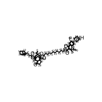 C=C[C@@]1(C)C[C@H](OC(=O)CSC2CC3CCC(C2)N3C)[C@@]2(C)C(C)CCC3(CCC(=O)C32)[C@H](C)[C@@H]1OC(=O)CCCCCCCCCCOC(=O)c1c2n(c3cc(N4CCNCC4)c(F)cc3c1=O)C(C)S2